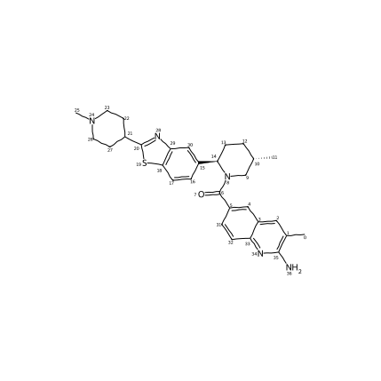 Cc1cc2cc(C(=O)N3C[C@@H](C)CC[C@@H]3c3ccc4sc(C5CCN(C)CC5)nc4c3)ccc2nc1N